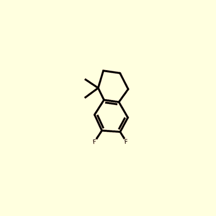 CC1(C)CCCc2cc(F)c(F)cc21